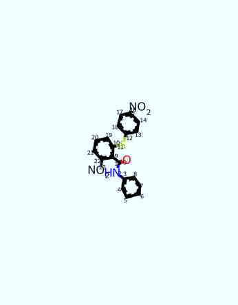 O=C(Nc1ccccc1)c1c(Sc2ccc([N+](=O)[O-])cc2)cccc1[N+](=O)[O-]